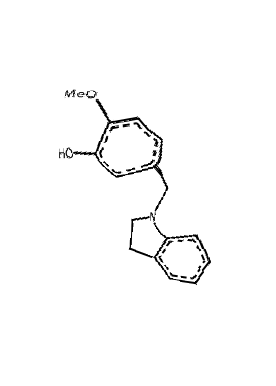 COc1ccc(CN2CCc3ccccc32)cc1O